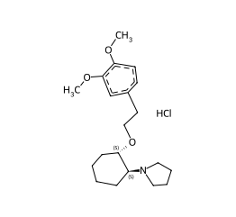 COc1ccc(CCO[C@H]2CCCC[C@@H]2N2CCCC2)cc1OC.Cl